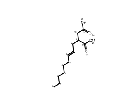 CCCCCC/C=C/CC(CC(=O)O)C(=O)O